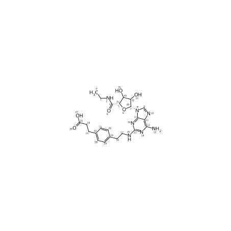 CCNC(=O)[C@H]1O[C@@H](n2cnc3c(N)nc(NCCc4ccc(CCC(=O)O)cc4)nc32)C(O)C1O